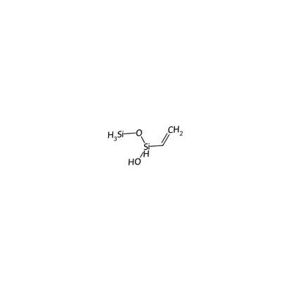 C=C[SiH](O)O[SiH3]